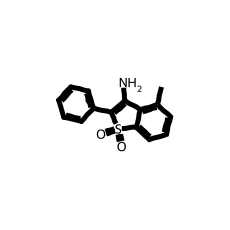 Cc1cccc2c1C(N)=C(c1ccccc1)S2(=O)=O